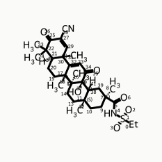 CCS(=O)(=O)NC(=O)[C@@]1(C)CC[C@]2(C)CC[C@@]3(C)[C@]4(C)CC[C@H]5C(C)(C)C(=O)C(C#N)=C[C@]5(C)C4=CC(=O)[C@]3(O)[C@@H]2C1